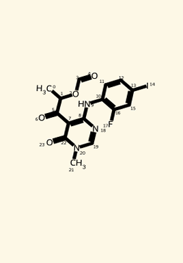 CC(OC=O)C(=O)c1c(Nc2ccc(I)cc2F)ncn(C)c1=O